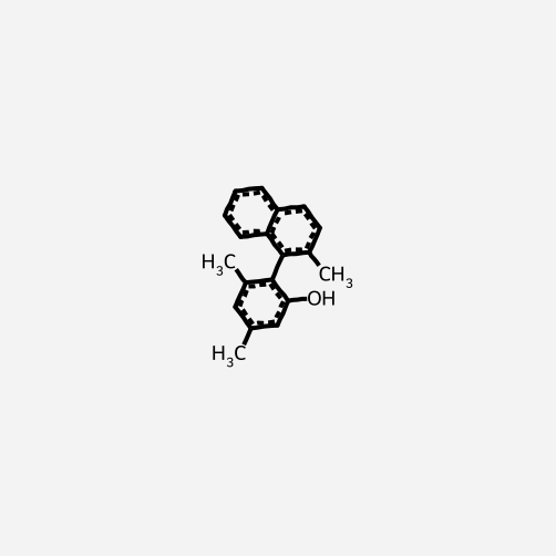 Cc1cc(C)c(-c2c(C)ccc3ccccc23)c(O)c1